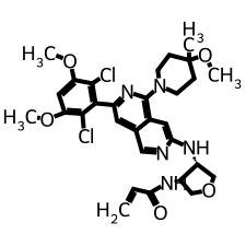 C=CC(=O)N[C@H]1COC[C@H]1Nc1cc2c(N3CCC(C)(OC)CC3)nc(-c3c(Cl)c(OC)cc(OC)c3Cl)cc2cn1